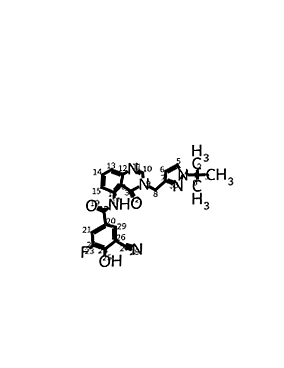 CC(C)(C)n1ccc(Cn2cnc3cccc(NC(=O)c4cc(F)c(O)c(C#N)c4)c3c2=O)n1